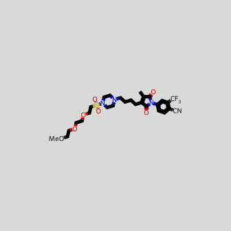 COCCOCCOCCS(=O)(=O)N1CCN(CCCCC2=C(C)C(=O)N(c3ccc(C#N)c(C(F)(F)F)c3)C2=O)CC1